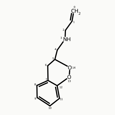 C=CCNCC1Cc2ccccc2OO1